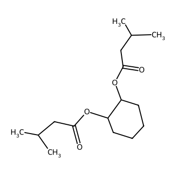 CC(C)CC(=O)OC1CCCCC1OC(=O)CC(C)C